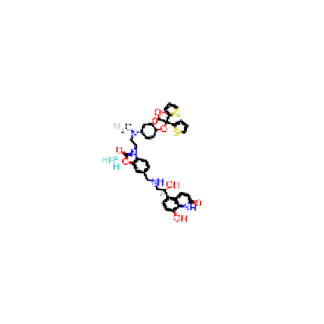 CN(CCn1c(=O)oc2cc(CNC[C@H](O)c3ccc(O)c4[nH]c(=O)ccc34)ccc21)[C@H]1CC[C@H](OC(C(=O)O)(c2cccs2)c2cccs2)CC1.F.F